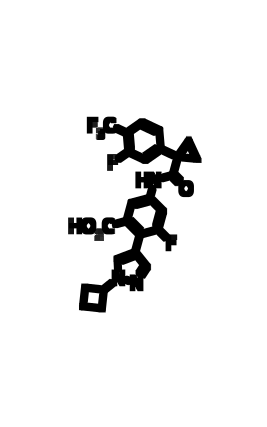 O=C(O)c1cc(NC(=O)C2(c3ccc(C(F)(F)F)c(F)c3)CC2)cc(F)c1-c1cnn(C2CCC2)c1